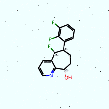 O[C@H]1CC[C@H](c2cccc(F)c2F)[C@H](F)c2cccnc21